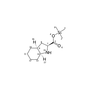 C[Si](C)(C)OC(=O)[C@@H]1C[C@@H]2CCCC[C@@H]2N1